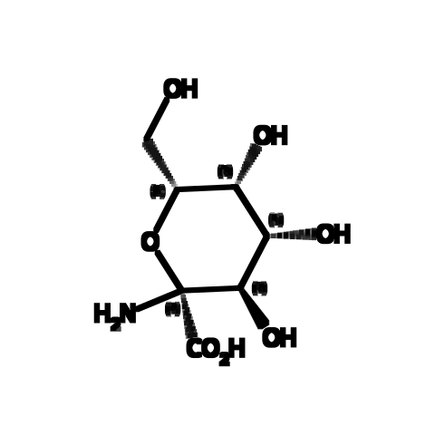 N[C@@]1(C(=O)O)O[C@H](CO)[C@H](O)[C@H](O)[C@H]1O